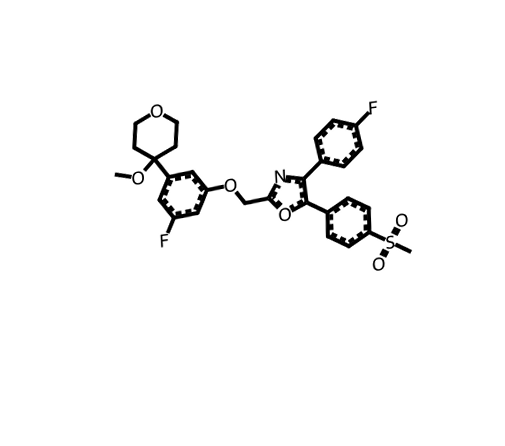 COC1(c2cc(F)cc(OCc3nc(-c4ccc(F)cc4)c(-c4ccc(S(C)(=O)=O)cc4)o3)c2)CCOCC1